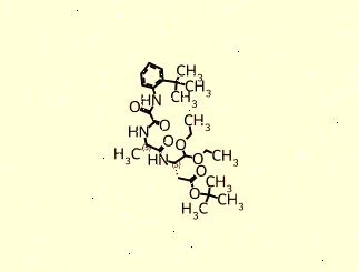 CCOC(OCC)[C@H](CC(=O)OC(C)(C)C)NC(=O)[C@H](C)NC(=O)C(=O)Nc1ccccc1C(C)(C)C